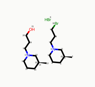 Br.C[C@H]1CCCN(CCCBr)C1.C[C@H]1CCCN(CCCO)C1